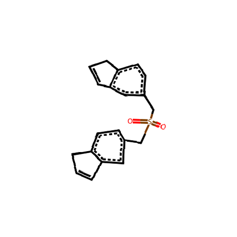 O=S(=O)(Cc1ccc2c(c1)C=CC2)Cc1ccc2c(c1)C=CC2